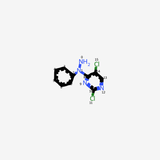 NN(c1ccccc1)c1nc(Cl)ncc1Cl